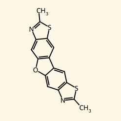 Cc1nc2cc3oc4cc5nc(C)sc5cc4c3cc2s1